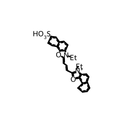 CCN1/C(=C\C=C\c2oc3c4ccccc4ccc3[n+]2CC)Oc2c1ccc1cc(S(=O)(=O)O)ccc21